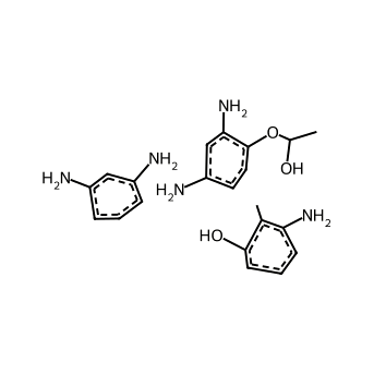 CC(O)Oc1ccc(N)cc1N.Cc1c(N)cccc1O.Nc1cccc(N)c1